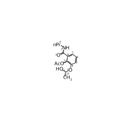 CCCNC(=O)c1cccc(OC(C)O)c1OC(C)=O